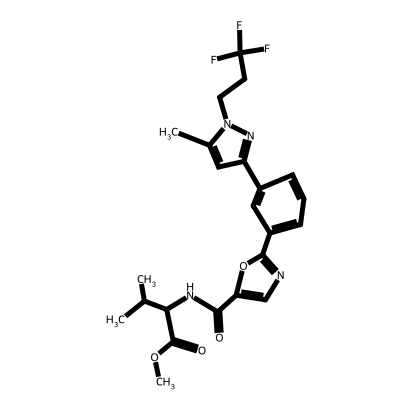 COC(=O)C(NC(=O)c1cnc(-c2cccc(-c3cc(C)n(CCC(F)(F)F)n3)c2)o1)C(C)C